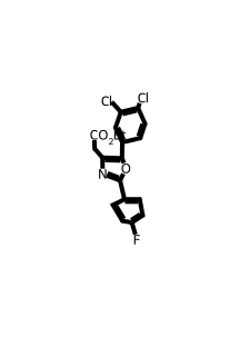 CCOC(=O)Cc1nc(-c2ccc(F)cc2)oc1-c1ccc(Cl)c(Cl)c1